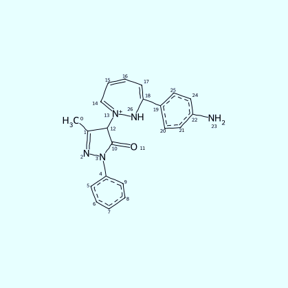 CC1=NN(c2ccccc2)C(=O)C1[N+]1=CC=CC=C(c2ccc(N)cc2)N1